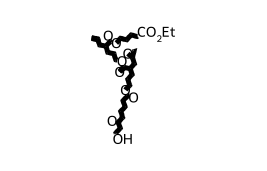 C=CCC(CCCOC(=O)C(CCCOC(=O)CCCCC(=O)CCO)CC1CO1)C(=O)OCCCCC(=O)OCC